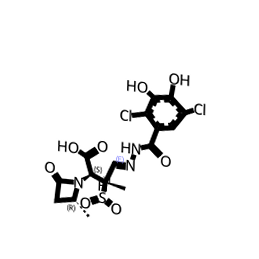 C[C@@H]1CC(=O)N1[C@@H](C(=O)O)[C@](C)(/C=N/NC(=O)c1cc(Cl)c(O)c(O)c1Cl)[SH](=O)=O